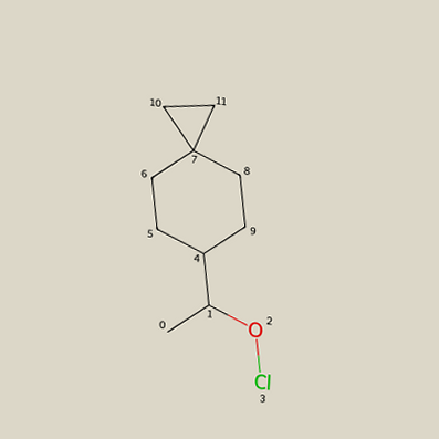 CC(OCl)C1CCC2(CC1)CC2